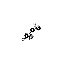 Clc1cccc(-c2nccnc2Oc2ccc(Nc3ccccn3)cc2)c1